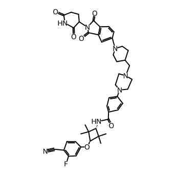 CC1(C)[C@H](NC(=O)c2ccc(N3CCN(CC4CCN(c5ccc6c(c5)C(=O)N(C5CCC(=O)NC5=O)C6=O)CC4)CC3)cc2)C(C)(C)[C@H]1Oc1ccc(C#N)c(F)c1